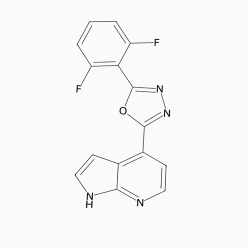 Fc1cccc(F)c1-c1nnc(-c2ccnc3[nH]ccc23)o1